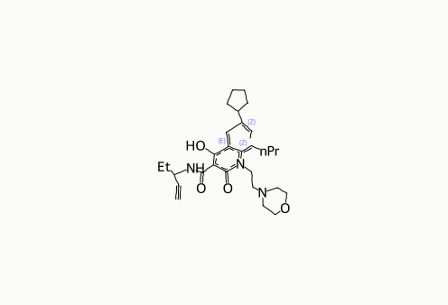 C#CC(CC)NC(=O)c1c(O)c(=C/C(=C\C)C2CCCC2)/c(=C/CCC)n(CCN2CCOCC2)c1=O